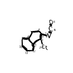 CCc1c(N=C=O)ccc2ccccc12